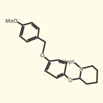 CCCCCCCN1CCCCC1Oc1ccc(OCc2ccc(OC)cc2)cc1